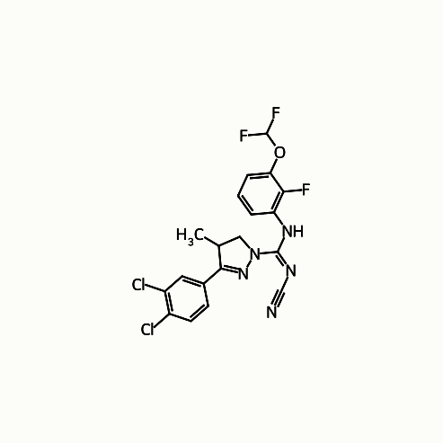 CC1CN(/C(=N\C#N)Nc2cccc(OC(F)F)c2F)N=C1c1ccc(Cl)c(Cl)c1